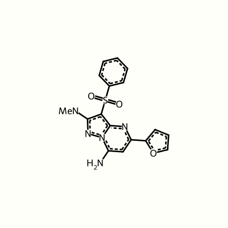 CNc1nn2c(N)cc(-c3ccco3)nc2c1S(=O)(=O)c1ccccc1